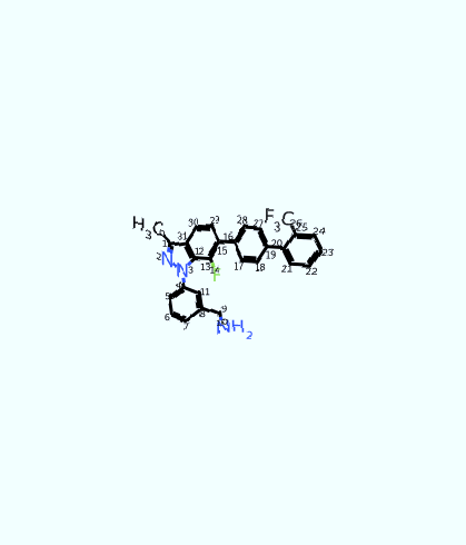 Cc1nn(-c2cccc(CN)c2)c2c(F)c(-c3ccc(-c4ccccc4C(F)(F)F)cc3)ccc12